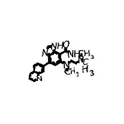 CN(C)CCN(C)c1cc(-c2ccc3cccnc3c2)c2nc[nH]c2c1C(N)=O